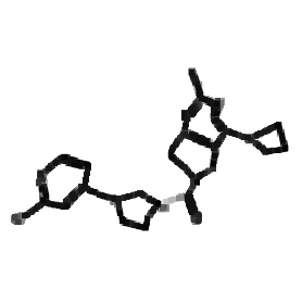 Cc1nc2c(c(N3CCC3)n1)CN(C(=O)[C@@H]1CCN(c3ccnc(Cl)c3)C1)C2